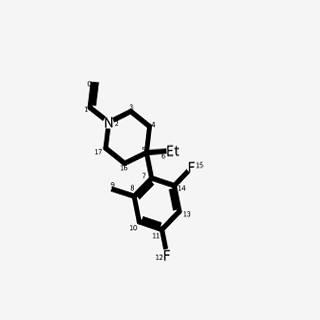 C=CN1CCC(CC)(c2c(C)cc(F)cc2F)CC1